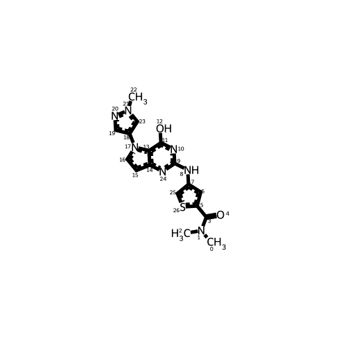 CN(C)C(=O)c1cc(Nc2nc(O)c3c(ccn3-c3cnn(C)c3)n2)cs1